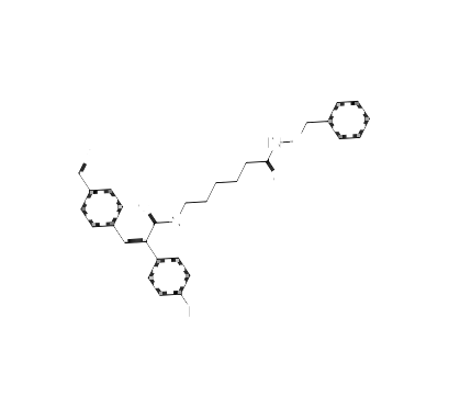 O=C(CCCCCNC(=O)/C(=C\c1ccc(C=S)cc1)c1ccc(F)cc1)NOCc1ccccc1